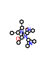 c1ccc(-c2ccc3c(c2)c2cc(-c4ccccc4)cc4c2n3B2c3c(cc5c(oc6ccccc65)c3-4)N(c3cc4c5ccccc5n5c6ccccc6c(c3)c45)c3cc4c5ccccc5n5c6ccccc6c(c32)c45)cc1